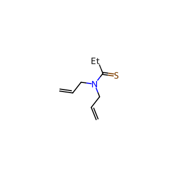 C=CCN(CC=C)C(=S)CC